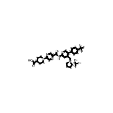 O=C(Nc1cc(CN2CCC[C@H]2C(F)(F)F)c(-c2ccc(C(F)(F)F)cc2)cn1)c1cnc(N2CCC(C(=O)O)CC2)cn1